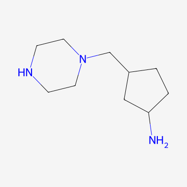 NC1CCC(CN2CCNCC2)C1